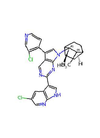 O=C(O)[C@@H]1C2CCC(CC2)[C@H]1n1cc(-c2ccncc2Cl)c2cnc(-c3c[nH]c4ncc(Cl)cc34)nc21